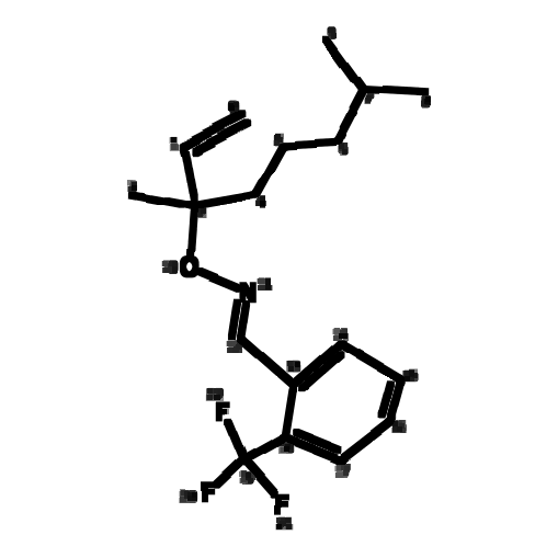 C=CC(C)(CCCC(C)C)ON=Cc1ccccc1C(F)(F)F